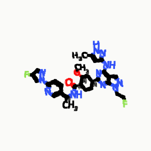 CO[C@H]1C[C@@H](c2nc(Nc3cc(C)[nH]n3)c3cnn(CCF)c3n2)CC[C@@H]1C(=O)N[C@@H](C)c1ccc(-n2cc(F)cn2)nc1